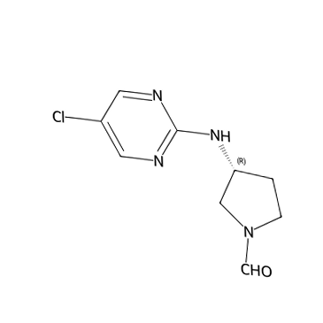 O=CN1CC[C@@H](Nc2ncc(Cl)cn2)C1